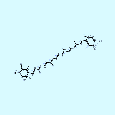 CC1=C(/C=C/C(C)=C/C=C/C(C)=C/C=C/C=C(C)/C=C/C=C(C)/C=C/C2=C(C)C(=O)C(O)CC2(C)C)C(C)(C)C=C(O)C1=O